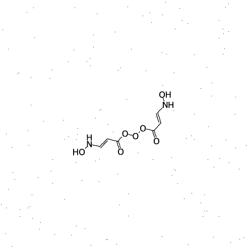 O=C(C=CNO)OOOC(=O)C=CNO